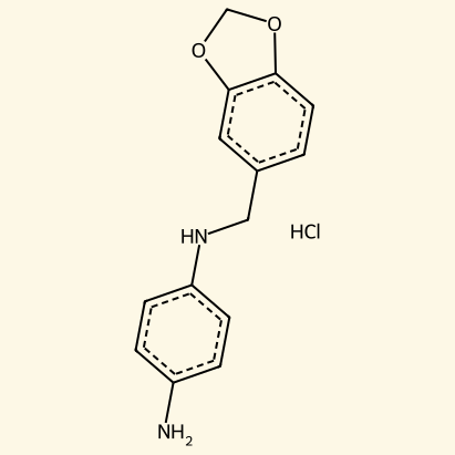 Cl.Nc1ccc(NCc2ccc3c(c2)OCO3)cc1